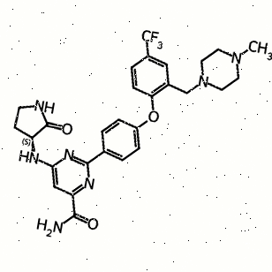 CN1CCN(Cc2cc(C(F)(F)F)ccc2Oc2ccc(-c3nc(N[C@H]4CCNC4=O)cc(C(N)=O)n3)cc2)CC1